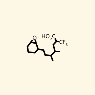 CC(CCC1CCCC2OC12)C(C)CC(C(=O)O)C(F)(F)F